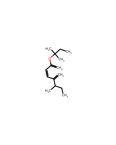 C=C(/C=C\C(=C)C(C)CC)OC(C)(C)CC